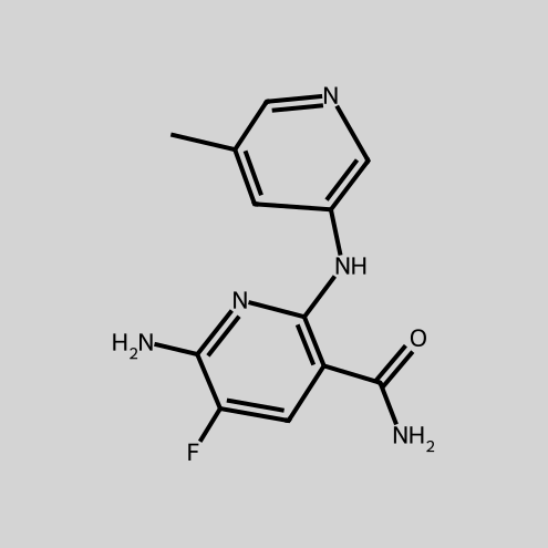 Cc1cncc(Nc2nc(N)c(F)cc2C(N)=O)c1